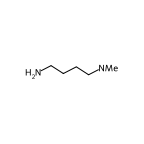 [CH2-][NH2+]CCCCN